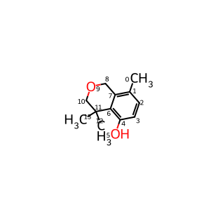 Cc1ccc(O)c2c1COCC2(C)C